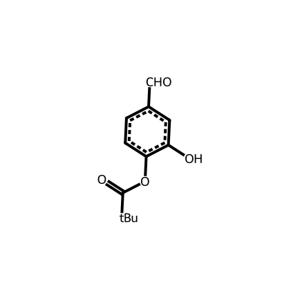 CC(C)(C)C(=O)Oc1ccc(C=O)cc1O